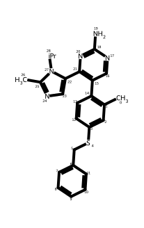 Cc1cc(SCc2ccccc2)ccc1-c1cnc(N)nc1-c1cnc(C)n1C(C)C